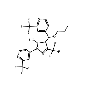 CCCOC(c1ccnc(C(F)(F)F)c1)C1C(C(F)(F)F)=NN(c2ccnc(C(F)(F)F)c2)C1O